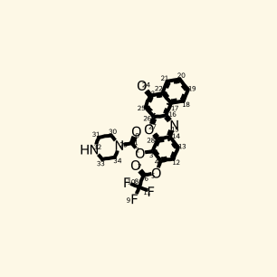 O=C(Oc1c(OC(=O)C(F)(F)F)ccc2nc3c4ccccc4c(=O)cc-3oc12)N1CCNCC1